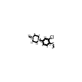 CSc1ccc(N2CCN(C)CC2)cc1Cl